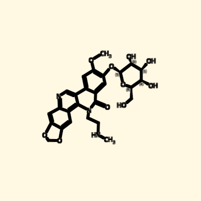 CNCCn1c(=O)c2cc(O[C@@H]3O[C@H](CO)[C@H](O)[C@H](O)[C@H]3O)c(OC)cc2c2cnc3cc4c(cc3c21)OCO4